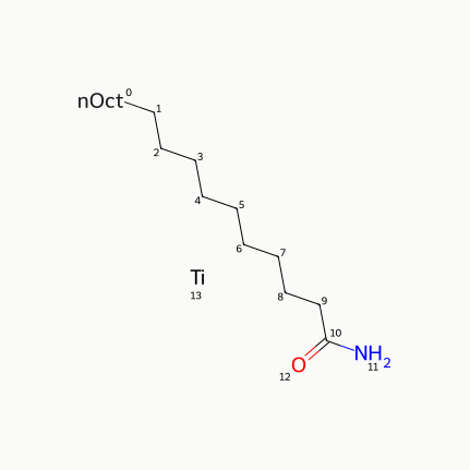 CCCCCCCCCCCCCCCCCC(N)=O.[Ti]